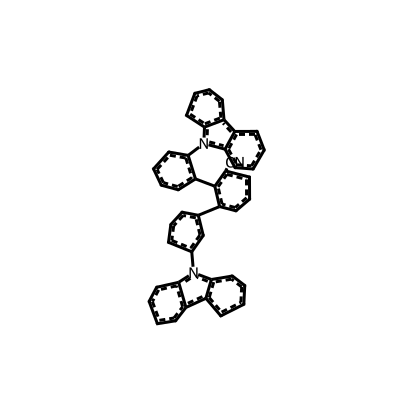 N#Cc1cccc(-c2cccc(-n3c4ccccc4c4ccccc43)c2)c1-c1ccccc1-n1c2ccccc2c2ccccc21